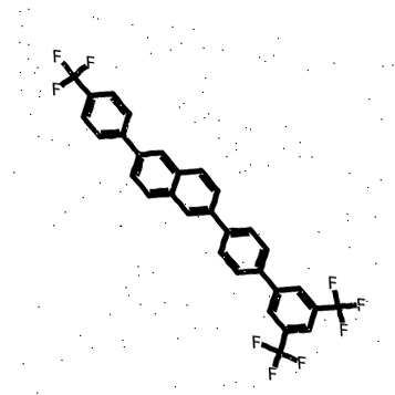 FC(F)(F)c1ccc(-c2ccc3cc(-c4ccc(-c5cc(C(F)(F)F)cc(C(F)(F)F)c5)cc4)ccc3c2)cc1